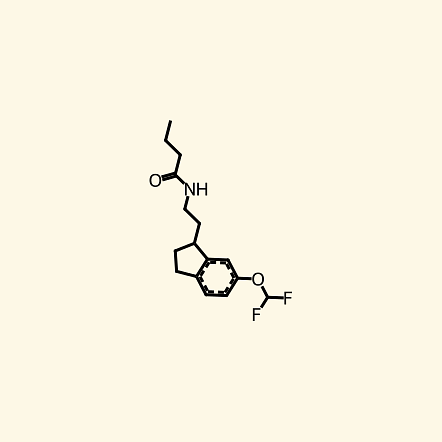 CCCC(=O)NCCC1CCc2ccc(OC(F)F)cc21